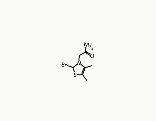 CC1=C(C)N(CC(N)=O)C(Br)S1